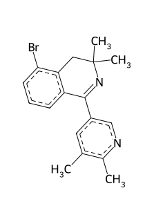 Cc1cc(C2=NC(C)(C)Cc3c(Br)cccc32)cnc1C